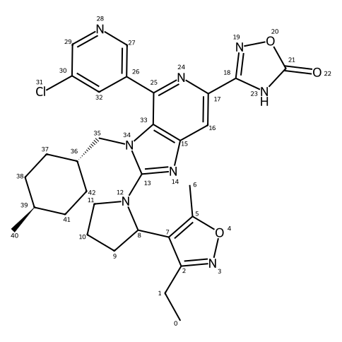 CCc1noc(C)c1C1CCCN1c1nc2cc(-c3noc(=O)[nH]3)nc(-c3cncc(Cl)c3)c2n1C[C@H]1CC[C@H](C)CC1